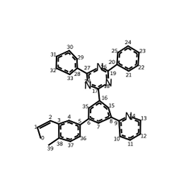 C/C=C\c1cc(-c2cc(-c3ccccn3)cc(-c3nc(-c4ccccc4)nc(-c4ccccc4)n3)c2)ccc1C